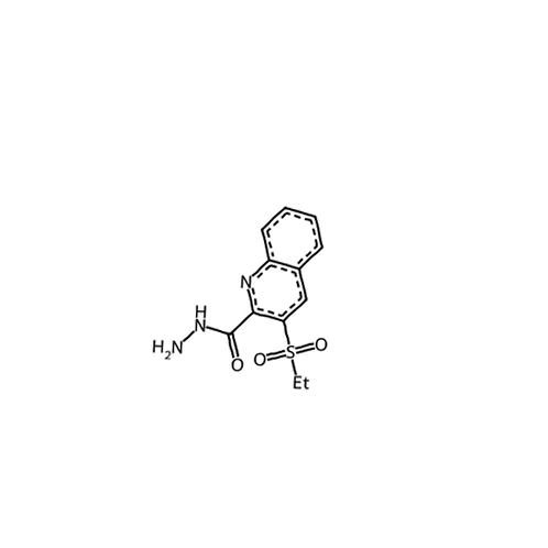 CCS(=O)(=O)c1cc2ccccc2nc1C(=O)NN